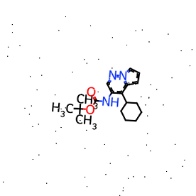 CC(C)(C)OC(=O)Nc1cnn2cccc2c1C1CCCCC1